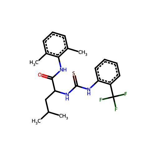 Cc1cccc(C)c1NC(=O)C(CC(C)C)NC(=S)Nc1ccccc1C(F)(F)F